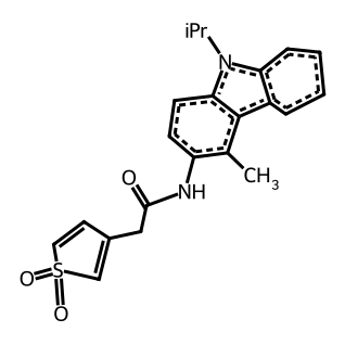 Cc1c(NC(=O)CC2=CS(=O)(=O)C=C2)ccc2c1c1ccccc1n2C(C)C